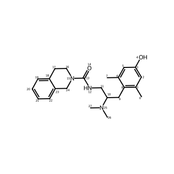 Cc1cc(O)cc(C)c1CC(CNC(=O)N1CCc2ccccc2C1)N(C)C